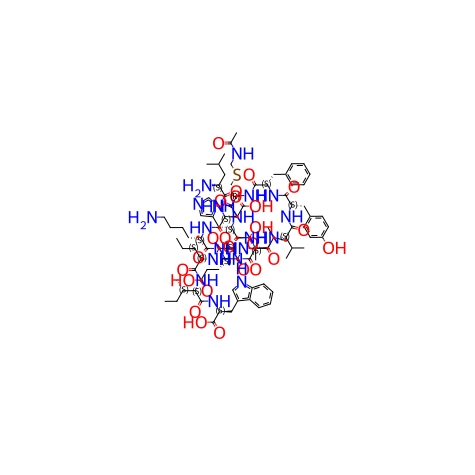 CC[C@H](C)[C@H](NC(=O)[C@H](CC(=O)O)NC(=O)[C@H](CC(C)C)NC(=O)[C@H](Cc1cnc[nH]1)NC(=O)[C@H](CSCNC(C)=O)NC(=O)[C@H](Cc1ccccc1)NC(=O)[C@H](Cc1ccc(O)cc1)NC(=O)[C@@H](NC(=O)C(C)(C)NC(=O)[C@H](CCC(=O)O)NC(=O)[C@H](CCCCN)NC(=O)[C@H](CC(=O)O)NC(=O)[C@@H](N)CC(C)C)C(C)C)C(=O)N[C@H](C(=O)N[C@@H](Cc1c[nH]c2ccccc12)C(=O)O)[C@@H](C)CC